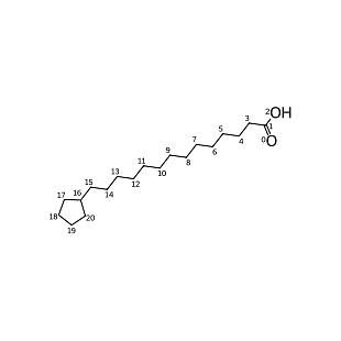 O=C(O)CCCCCCCCCCCCCC1CCCC1